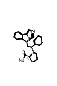 O=C(O)[C@@H]1CCCN1C(CC1c2ccccc2-c2cncn21)C1CCCCC1